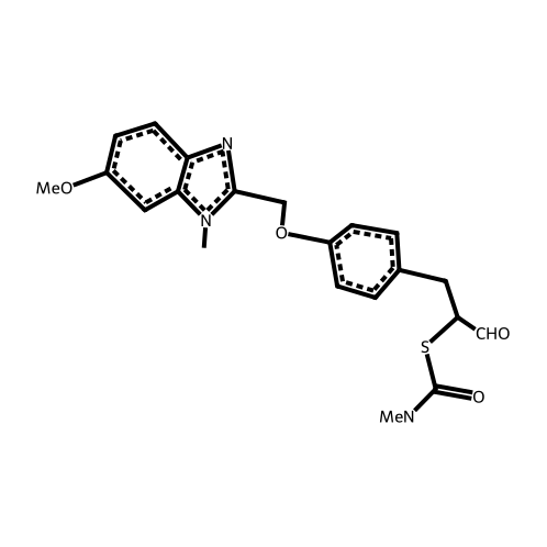 CNC(=O)SC(C=O)Cc1ccc(OCc2nc3ccc(OC)cc3n2C)cc1